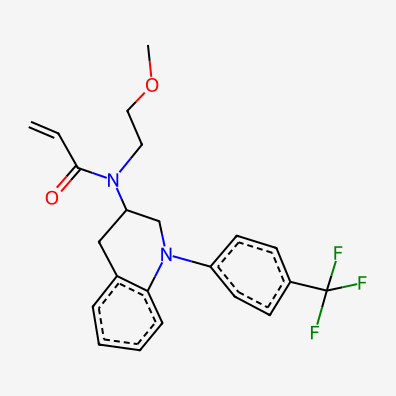 C=CC(=O)N(CCOC)C1Cc2ccccc2N(c2ccc(C(F)(F)F)cc2)C1